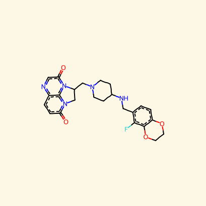 O=c1ccc2ncc(=O)n3c2n1CC3CN1CCC(NCc2ccc3c(c2F)OCCO3)CC1